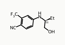 CC[C@@H](CO)Nc1ccc(C#N)c(C(F)(F)F)c1